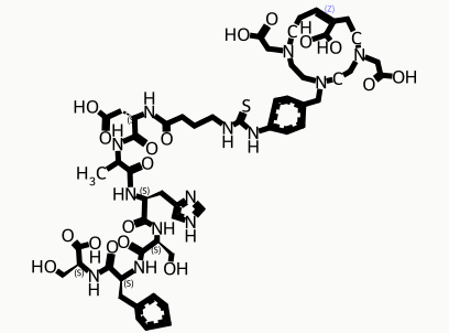 CC(NC(=O)[C@H](CC(=O)O)NC(=O)CCCNC(=S)Nc1ccc(CN2CCN(CC(=O)O)CC/C=C(\C(O)O)CCN(CC(=O)O)CC2)cc1)C(=O)N[C@@H](Cc1c[nH]cn1)C(=O)N[C@@H](CO)C(=O)N[C@@H](Cc1ccccc1)C(=O)N[C@@H](CO)C(=O)O